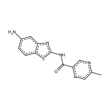 Cc1cnc(C(=O)Nc2nc3cc(N)ccc3s2)cn1